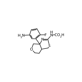 Nc1ccc(F)c(C23COCCC2CSC(NC(=O)O)=N3)c1